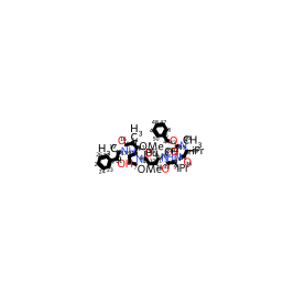 CC[C@H](C)[C@@H]([C@@H](CC(=O)N1CCC[C@H]1C(OC)[C@@H](C)C(=O)NC(C)[C@@H](O)c1ccccc1)OC)N(C)C(=O)[C@@H](NC(=O)[C@H](C(C)C)N(C)C(=O)OCc1ccccc1)C(C)C